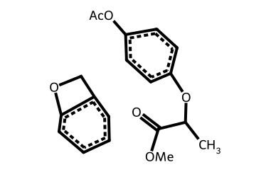 COC(=O)C(C)Oc1ccc(OC(C)=O)cc1.c1ccc2c(c1)CO2